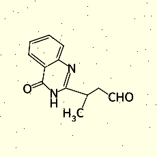 CC(CC=O)c1nc2ccccc2c(=O)[nH]1